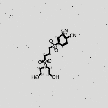 N#Cc1ccc(S(=O)(=O)CCCS(=O)(=O)N(CCO)CCO)cc1C#N